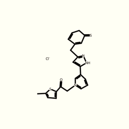 Cc1ccc(C(=O)C[n+]2cccc(-c3cc(CC4=CC(=S)CC=C4)n[nH]3)c2)s1.[Cl-]